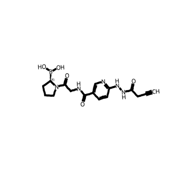 C#CCC(=O)NNc1ccc(C(=O)NCC(=O)N2CCC[C@H]2B(O)O)cn1